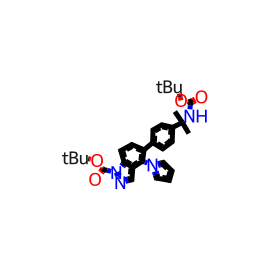 CC(C)(C)OC(=O)NC(C)(C)c1ccc(-c2ccc3c(cnn3C(=O)OC(C)(C)C)c2-n2cccc2)cc1